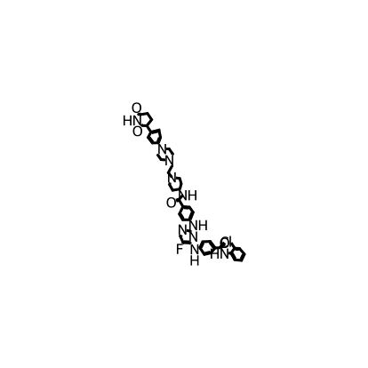 O=C1CCC(c2ccc(N3CCN(CCN4CCC(NC(=O)c5ccc(Nc6ncc(F)c(Nc7ccc(C(=O)Nc8ccccc8Cl)cc7)n6)cc5)CC4)CC3)cc2)C(=O)N1